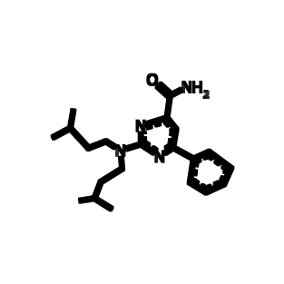 CC(C)CCN(CCC(C)C)c1nc(C(N)=O)cc(-c2ccccc2)n1